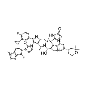 C[C@H]1c2c(nn(-c3ccc(F)c(C4CC4)c3)c2-n2ccn(-c3ccc4c(cnn4C)c3F)c2=O)CCN1C(O)c1cn2cc([C@H]3CCOC(C)(C)C3)cc(F)c2c1C1(c2noc(=O)[nH]2)CC1